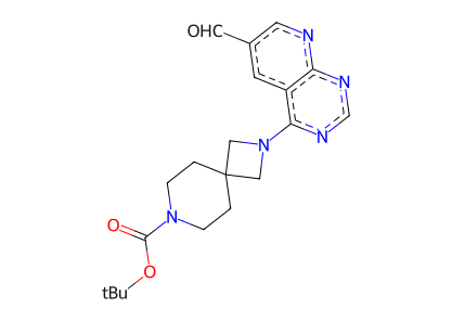 CC(C)(C)OC(=O)N1CCC2(CC1)CN(c1ncnc3ncc(C=O)cc13)C2